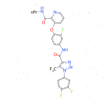 CCCNC(=O)c1ncccc1Oc1ccc(NC(=O)c2nnn(-c3ccc(F)c(F)c3)c2C(F)(F)F)cc1F